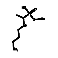 CCC(C)OP(=O)(O)C(C)NCCCN